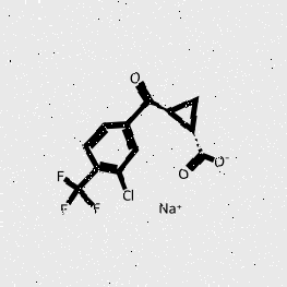 O=C([O-])[C@H]1C[C@@H]1C(=O)c1ccc(C(F)(F)F)c(Cl)c1.[Na+]